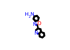 Nc1ccc2oc(-c3cnc4ccccc4c3)nc2c1